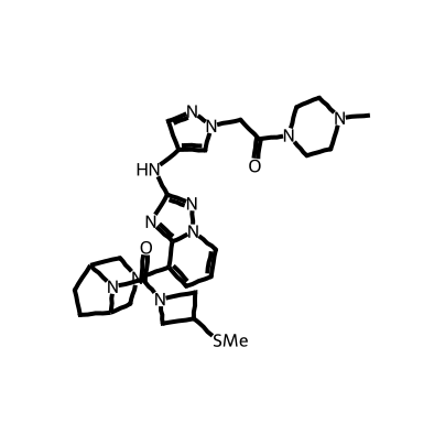 CSC1CN(C(=O)N2C3CCC2CN(c2cccn4nc(Nc5cnn(CC(=O)N6CCN(C)CC6)c5)nc24)C3)C1